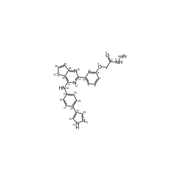 CCCNC(=O)COc1cccc(-c2nc(Nc3ccc(-c4cn[nH]c4)cc3)c3sccc3n2)c1